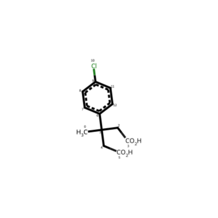 CC(CC(=O)O)(CC(=O)O)c1ccc(Cl)cc1